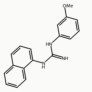 COc1cccc(NC(=N)Nc2cccc3ccccc23)c1